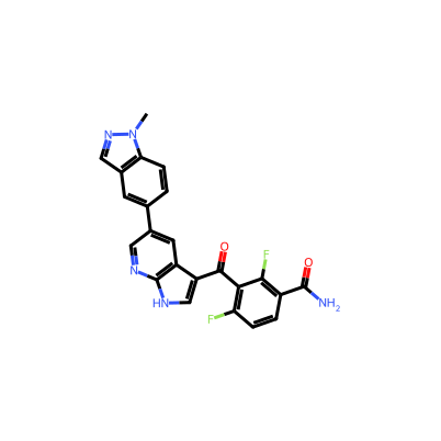 Cn1ncc2cc(-c3cnc4[nH]cc(C(=O)c5c(F)ccc(C(N)=O)c5F)c4c3)ccc21